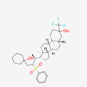 C[C@H](C(CC1(O)CCCCC1)S(=O)(=O)c1ccccc1)[C@H]1CC[C@H]2[C@@H]3CC[C@H]4CC(O)(C(F)(F)F)CC[C@]4(C)[C@H]3CC[C@]12C